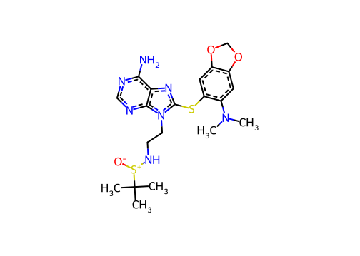 CN(C)c1cc2c(cc1Sc1nc3c(N)ncnc3n1CCN[S+]([O-])C(C)(C)C)OCO2